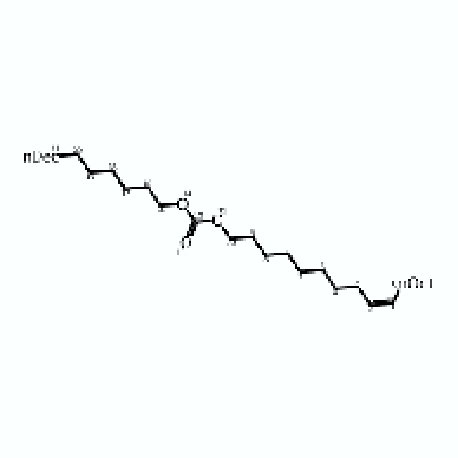 CCCCCCCC/C=C\CCCCCCCCOC(=O)OCCCCCCCCCCCCCCCC